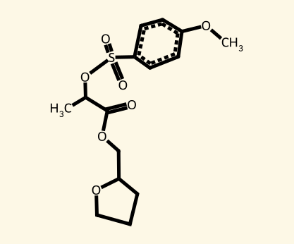 COc1ccc(S(=O)(=O)OC(C)C(=O)OCC2CCCO2)cc1